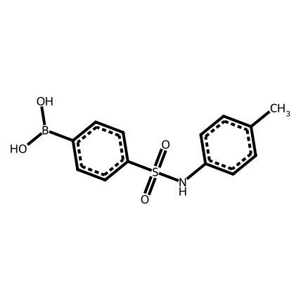 Cc1ccc(NS(=O)(=O)c2ccc(B(O)O)cc2)cc1